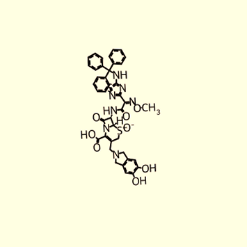 CO/N=C(\C(=O)N[C@@H]1C(=O)N2C(C(=O)O)=C(CN3Cc4cc(O)c(O)cc4C3)C[S+]([O-])[C@@H]12)c1nsc(NC(c2ccccc2)(c2ccccc2)c2ccccc2)n1